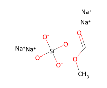 COC=O.[Na+].[Na+].[Na+].[Na+].[O-][Si]([O-])([O-])[O-]